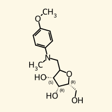 COc1ccc(N(C)CC2O[C@H](CO)[C@H](O)[C@@H]2O)cc1